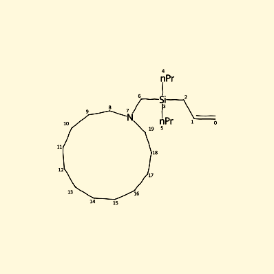 C=CC[Si](CCC)(CCC)CN1CCCCCCCCCCCC1